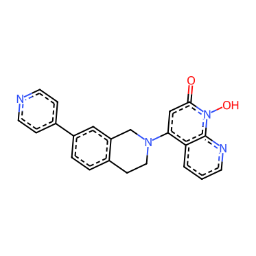 O=c1cc(N2CCc3ccc(-c4ccncc4)cc3C2)c2cccnc2n1O